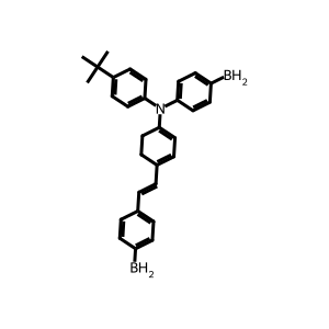 Bc1ccc(/C=C/C2=CC=C(N(c3ccc(B)cc3)c3ccc(C(C)(C)C)cc3)CC2)cc1